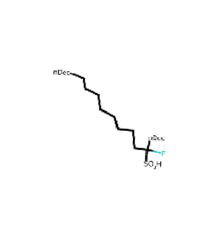 CCCCCCCCCCCCCCCCCCC(F)(CCCCCCCCCC)S(=O)(=O)O